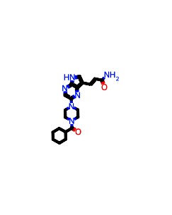 NC(=O)C=Cc1c[nH]c2ncc(N3CCN(C(=O)C4CCCCC4)CC3)nc12